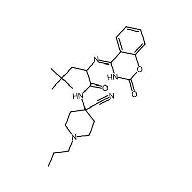 CCCN1CCC(C#N)(NC(=O)C(CC(C)(C)C)N=c2[nH]c(=O)oc3ccccc23)CC1